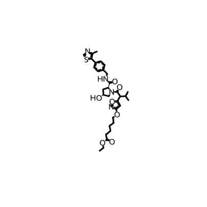 CCOC(=O)CCCCCOc1cc(C(C(=O)N2C[C@H](O)C[C@H]2C(=O)NCc2ccc(-c3scnc3C)cc2)C(C)C)on1